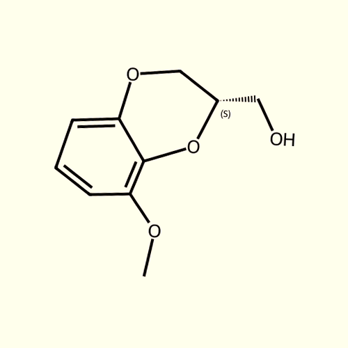 COc1cccc2c1O[C@@H](CO)CO2